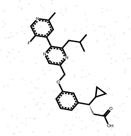 Cc1cc(-c2ncc(COc3cccc([C@@H](CC(=O)O)C4CC4)c3)nc2CC(C)C)c(F)cn1